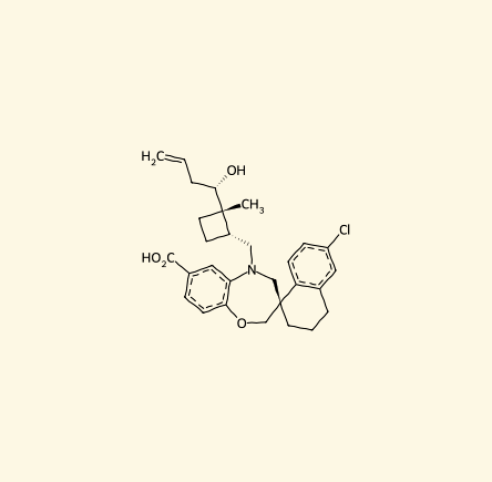 C=CC[C@H](O)[C@@]1(C)CC[C@H]1CN1C[C@@]2(CCCc3cc(Cl)ccc32)COc2ccc(C(=O)O)cc21